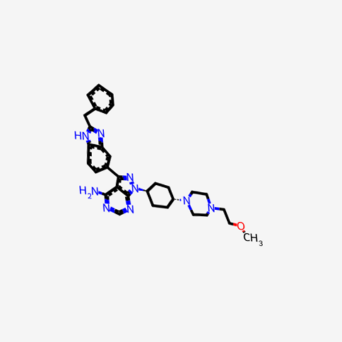 COCCN1CCN([C@H]2CC[C@H](n3nc(-c4ccc5[nH]c(Cc6ccccc6)nc5c4)c4c(N)ncnc43)CC2)CC1